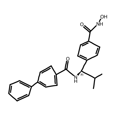 CC(C)[C@@H](NC(=O)c1ccc(-c2ccccc2)cc1)c1ccc(C(=O)NO)cc1